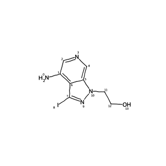 Nc1cncc2c1c(I)nn2CCO